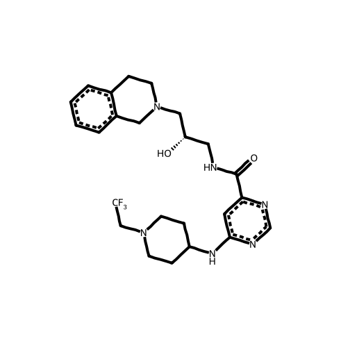 O=C(NC[C@H](O)CN1CCc2ccccc2C1)c1cc(NC2CCN(CC(F)(F)F)CC2)ncn1